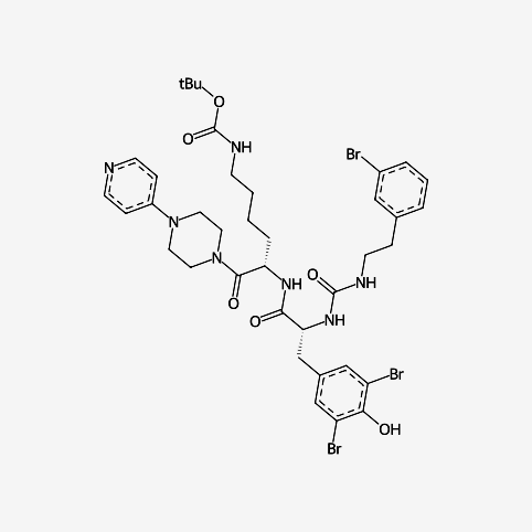 CC(C)(C)OC(=O)NCCCC[C@H](NC(=O)[C@@H](Cc1cc(Br)c(O)c(Br)c1)NC(=O)NCCc1cccc(Br)c1)C(=O)N1CCN(c2ccncc2)CC1